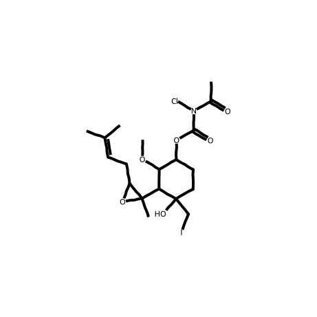 COC1C(OC(=O)N(Cl)C(C)=O)CCC(O)(CI)C1C1(C)OC1CC=C(C)C